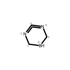 B1CN=C=NC1